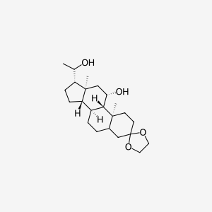 CC(O)[C@H]1CC[C@H]2[C@@H]3CCC4CC5(CC[C@]4(C)[C@H]3[C@@H](O)C[C@]12C)OCCO5